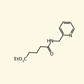 CCOC(=O)CCCC(=O)NCc1ccccn1